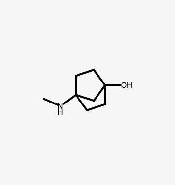 CNC12CCC(O)(CC1)C2